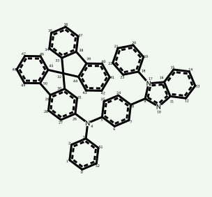 c1ccc(N(c2ccc(-c3nc4ccccc4n3-c3ccccc3)cc2)c2ccc3c(c2)C2(c4ccccc4-c4ccccc42)c2ccccc2-3)cc1